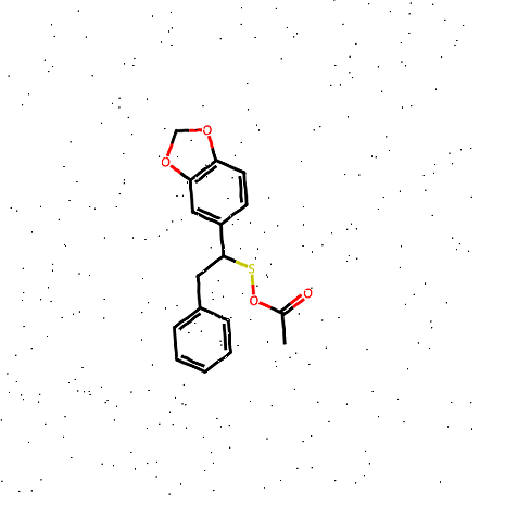 CC(=O)OSC(Cc1ccccc1)c1ccc2c(c1)OCO2